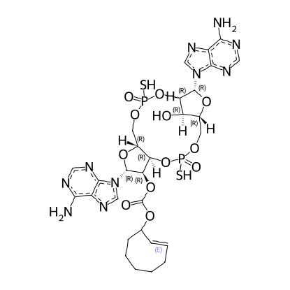 Nc1ncnc2c1ncn2[C@@H]1O[C@@H]2COP(=O)(S)O[C@H]3[C@@H](OC(=O)OC4/C=C/CCCCC4)[C@H](n4cnc5c(N)ncnc54)O[C@@H]3COP(=O)(S)O[C@@H]1[C@@H]2O